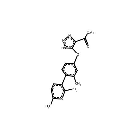 COC(=O)c1nn[nH]c1Oc1ccc(-c2ccc(C)nc2P)c(C)c1